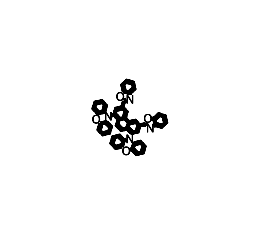 c1ccc2c(c1)Oc1ccccc1N2c1cc(-c2nc3ccccc3o2)cc2c1ccc1c(N3c4ccccc4Oc4ccccc43)cc(-c3nc4ccccc4o3)cc12